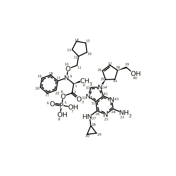 C[C@@H](C(=O)OP(=O)(O)O)N(OCC1CCCC1)c1ccccc1.Nc1nc(NC2CC2)c2ncn([C@H]3C=C[C@@H](CO)C3)c2n1